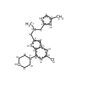 Cc1csc(CN(C)Cc2cc3nc(Cl)nc(N4CCOCC4)c3s2)n1